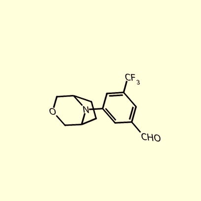 O=Cc1cc(N2C3CCC2COC3)cc(C(F)(F)F)c1